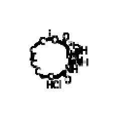 Cl.[2H]C([2H])([2H])N1CC(=O)O[C@@H](C)CCCCCCCCCC(=O)NC1=N